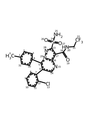 Cc1ccc(-c2c(-c3ccccc3Cl)cnc3c(C(=O)NCC(F)(F)F)c(S(N)(=O)=O)nn23)cc1